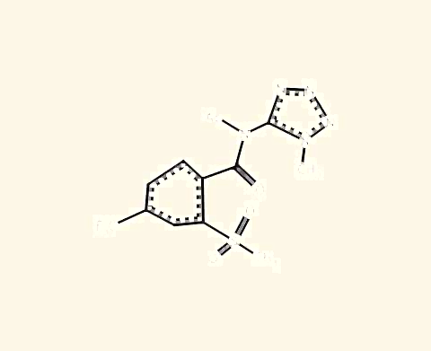 CC(=O)N(C(=O)c1ccc(C(F)(F)F)cc1S(C)(=O)=O)c1nnnn1C